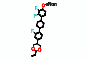 C=CC1OCC(c2ccc(-c3ccc(-c4ccc(OCCCCCCCCC)c(F)c4F)cc3)c(F)c2)CO1